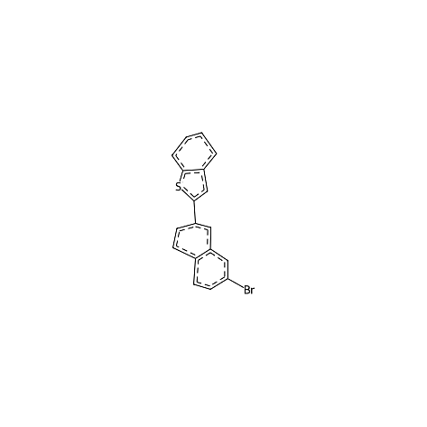 Brc1ccc2ccc(-c3cc4ccccc4s3)cc2c1